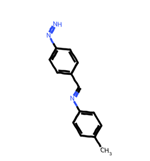 Cc1ccc(N=Cc2ccc(N=N)cc2)cc1